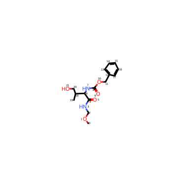 COCNC(=O)C(NC(=O)OCc1ccccc1)C(C)CO